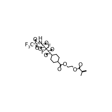 C=C(C)C(=O)OCCOC(=O)C1CCC(S(=O)(=O)C(F)(F)S(=O)(=O)NS(=O)(=O)C(F)(F)F)CC1